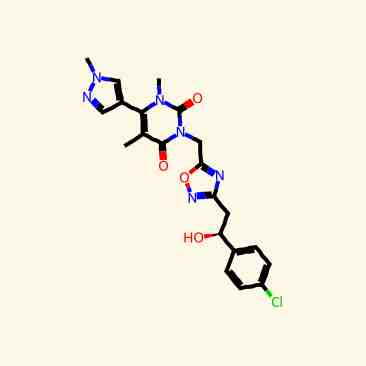 Cc1c(-c2cnn(C)c2)n(C)c(=O)n(Cc2nc(C[C@H](O)c3ccc(Cl)cc3)no2)c1=O